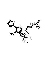 C[Si](C)(C)Oc1c(C(Br)CCN[SH](=O)=O)oc(-c2ccco2)c1O